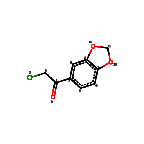 O=C(CCl)c1ccc2c(c1)OCO2